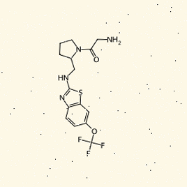 NCC(=O)N1CCCC1CNc1nc2ccc(OC(F)(F)F)cc2s1